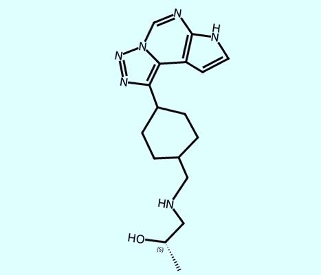 C[C@H](O)CNCC1CCC(c2nnn3cnc4[nH]ccc4c23)CC1